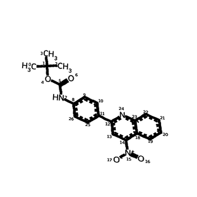 CC(C)(C)OC(=O)Nc1ccc(-c2cc([N+](=O)[O-])c3ccccc3n2)cc1